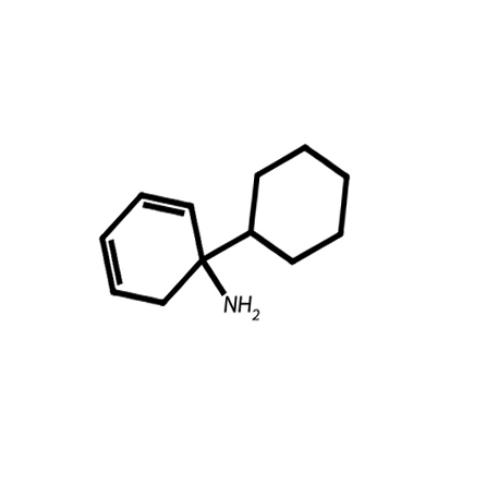 NC1(C2CCCCC2)C=CC=CC1